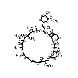 COC1C[C@H](C[C@@H](C)[C@@H]2CC(=O)[C@H](C)/C=C(\C)[C@@H](O)C(OC)C(=O)C(C)C[C@H](C)/C=C/C=C/C=C(\C)[C@@H](OC)C[C@@H]3CC[C@@H](C)[C@@](O)(O3)C(=O)C(=O)N3CCCC[C@H]3C(=O)O2)CC[C@H]1C